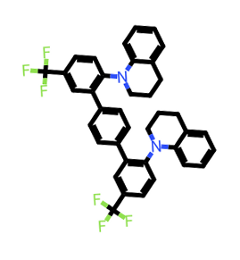 FC(F)(F)c1ccc(N2CCCc3ccccc32)c(-c2ccc(-c3cc(C(F)(F)F)ccc3N3CCCc4ccccc43)cc2)c1